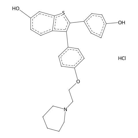 Cl.Oc1ccc(-c2sc3cc(O)ccc3c2-c2ccc(OCCN3CCCCC3)cc2)cc1